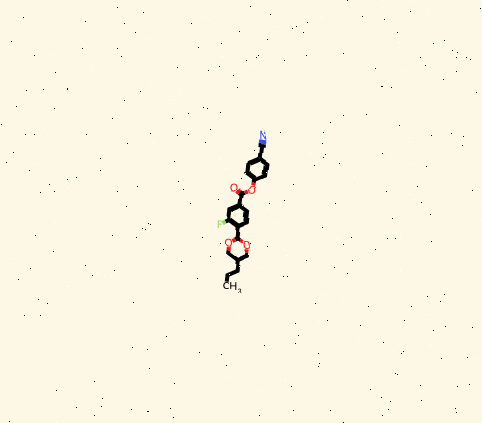 CCCC1COC(c2ccc(C(=O)Oc3ccc(C#N)cc3)cc2F)OC1